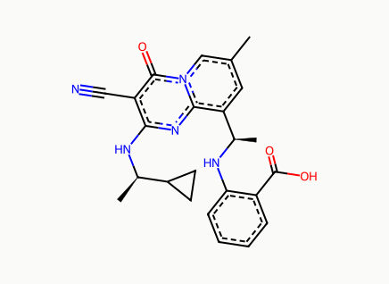 Cc1cc([C@@H](C)Nc2ccccc2C(=O)O)c2nc(N[C@H](C)C3CC3)c(C#N)c(=O)n2c1